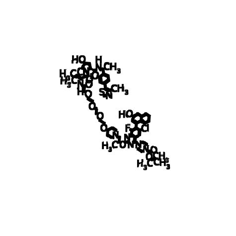 Cc1ncsc1-c1ccc([C@H](C)NC(=O)[C@@H]2C[C@@H](O)CN2C(=O)[C@@H](NC(=O)COCCOCCOCCOC2CCN(C[C@@H](C)Oc3nc(N4CCN(C(=O)OC(C)(C)C)CC4)c4cc(Cl)c(-c5cc(O)cc6ccccc56)c(F)c4n3)CC2)C(C)(C)C)cc1